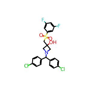 O=S(=O)(CC1(O)CN(C(c2ccc(Cl)cc2)c2ccc(Cl)cc2)C1)c1cc(F)cc(F)c1